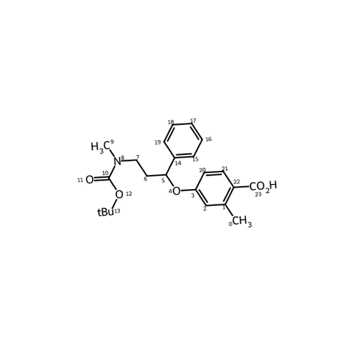 Cc1cc(OC(CCN(C)C(=O)OC(C)(C)C)c2ccccc2)ccc1C(=O)O